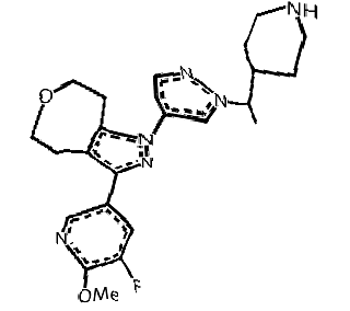 COc1ncc(-c2nn(-c3cnn(C(C)C4CCNCC4)c3)c3c2CCOCC3)cc1F